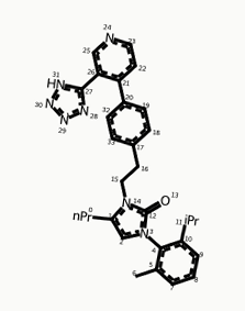 CCCc1cn(-c2c(C)cccc2C(C)C)c(=O)n1CCc1ccc(-c2ccncc2-c2nnn[nH]2)cc1